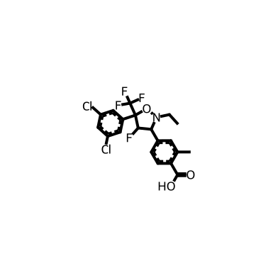 CCN1OC(c2cc(Cl)cc(Cl)c2)(C(F)(F)F)C(F)C1c1ccc(C(=O)O)c(C)c1